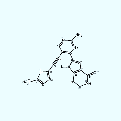 Cn1c(-c2nc(N)ncc2C#Cc2ncc(C(=O)O)s2)cc2c1CCNC2=O